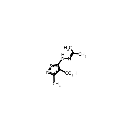 CC(C)=NNc1snc(C)c1C(=O)O